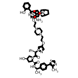 Cc1ncsc1-c1ccc([C@H](C)NC(=O)[C@H]2C[C@@H](O)CN2C(=O)[C@@H](C(C)C)n2cc(OCCN3CCN(CCOc4cc(N5C6CCC5CN(c5cc(-c7ccccc7O)nnc5N)C6)ccn4)CC3)cn2)cc1